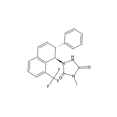 Cn1c(=O)[nH]n([C@H]2c3c(cccc3C(F)(F)F)C=C[C@@H]2c2ccccc2)c1=O